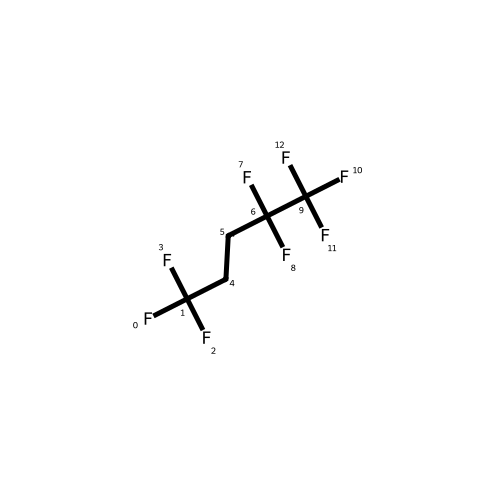 FC(F)(F)C[CH]C(F)(F)C(F)(F)F